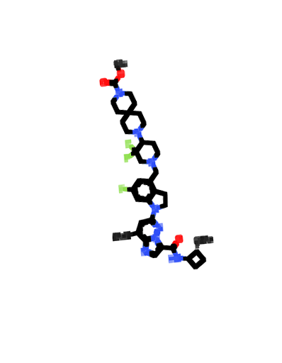 CNc1cc(N2CCc3c(CN4CCC(N5CCC6(CCN(C(=O)OC(C)(C)C)CC6)CC5)C(F)(F)C4)cc(F)cc32)nn2c(C(=O)N[C@@H]3CC[C@H]3OC)cnc12